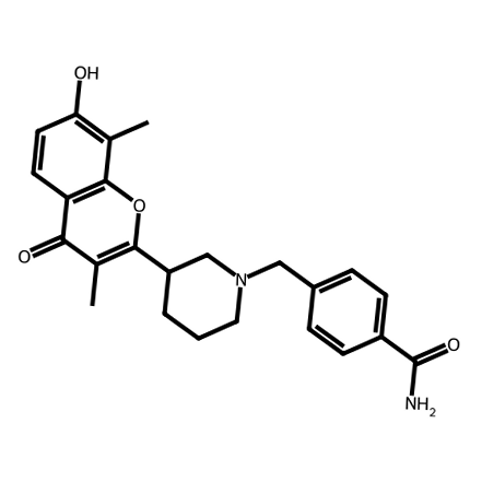 Cc1c(C2CCCN(Cc3ccc(C(N)=O)cc3)C2)oc2c(C)c(O)ccc2c1=O